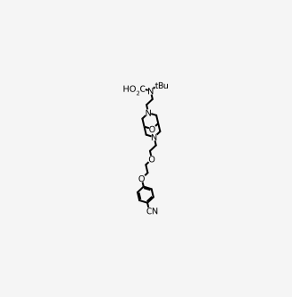 CC(C)(C)N(CCN1CC2CN(CCOCCOc3ccc(C#N)cc3)CC(C1)O2)C(=O)O